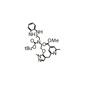 COC(=O)c1cc(C)nc(Cc2cnn(C)c2OCCN(CCNc2ccccc2N)C(=O)OC(C)(C)C)c1